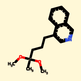 CO[Si](C)(CCCc1cncc2ccccc12)OC